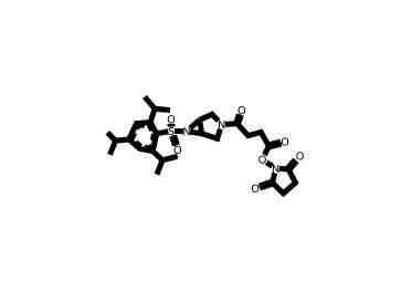 CC(C)c1cc(C(C)C)c(S(=O)(=O)N2C3CN(C(=O)CCC(=O)ON4C(=O)CCC4=O)CC32)c(C(C)C)c1